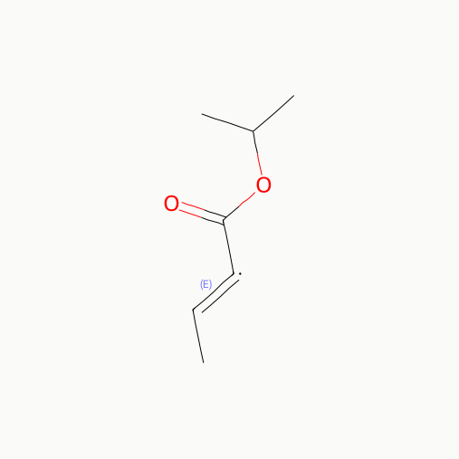 C/C=[C]/C(=O)OC(C)C